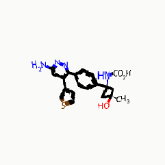 C[C@]1(O)C[C@](NC(=O)O)(c2ccc(-c3nnc(N)cc3-c3ccsc3)cc2)C1